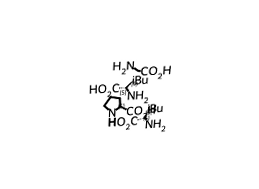 CC[C@H](C)[C@H](N)C(=O)O.CC[C@H](C)[C@H](N)C(=O)O.NCC(=O)O.O=C(O)[C@@H]1CCCN1